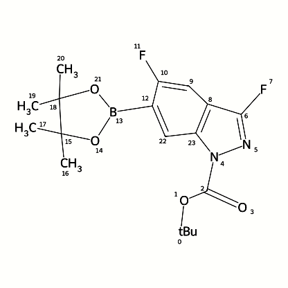 CC(C)(C)OC(=O)n1nc(F)c2cc(F)c(B3OC(C)(C)C(C)(C)O3)cc21